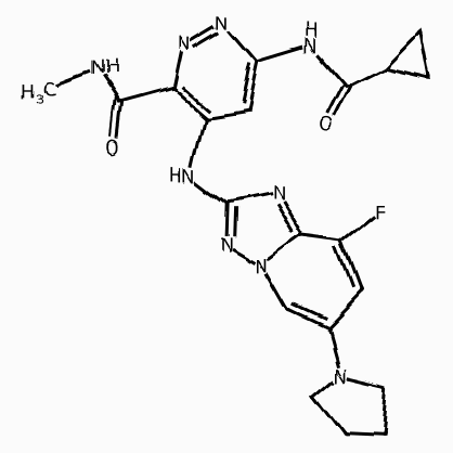 CNC(=O)c1nnc(NC(=O)C2CC2)cc1Nc1nc2c(F)cc(N3CCCC3)cn2n1